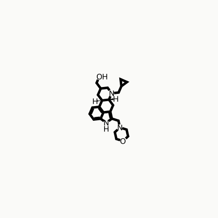 OCC1C[C@@H]2c3cccc4[nH]c(CN5CCOCC5)c(c34)C[C@H]2N(CC2CC2)C1